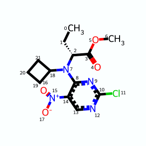 CC[C@H](C(=O)OC)N(c1nc(Cl)ncc1[N+](=O)[O-])C1CCC1